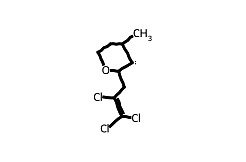 CC1[C]C(CC(Cl)=C(Cl)Cl)OCC1